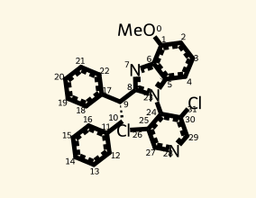 COc1cccc2c1nc([C@H](Cc1ccccc1)c1ccccc1)n2-c1c(Cl)cncc1Cl